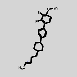 C/C=C/CCC1CCC(c2ccc(-c3ccc(OCCC)c(F)c3F)cc2)CC1